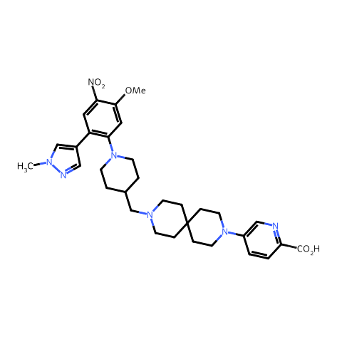 COc1cc(N2CCC(CN3CCC4(CC3)CCN(c3ccc(C(=O)O)nc3)CC4)CC2)c(-c2cnn(C)c2)cc1[N+](=O)[O-]